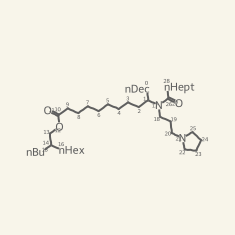 CCCCCCCCCCC(CCCCCCCCC(=O)OCC(CCCC)CCCCCC)N(CCCN1CCCC1)C(=O)CCCCCCC